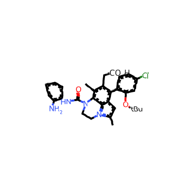 Cc1c(CC(=O)O)c(-c2ccc(Cl)cc2OC(C)(C)C)c2cc(C)n3c2c1N(C(=O)Nc1ccccc1N)CC3